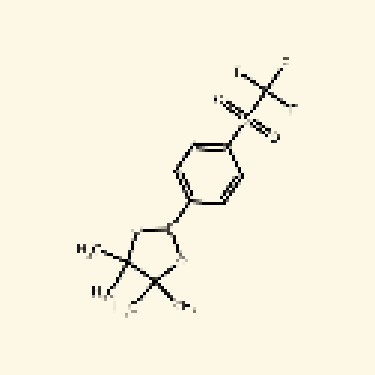 CC1(C)OB(c2ccc(S(=O)(=O)C(F)(F)F)cc2)OC1(C)C